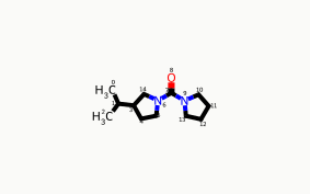 CC(C)C1CCN(C(=O)N2CCCC2)C1